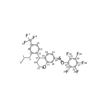 CCCc1cc(C(F)(F)F)ccc1C1CCOc2cc(SOc3c(F)c(F)c(F)c(F)c3F)ccc21